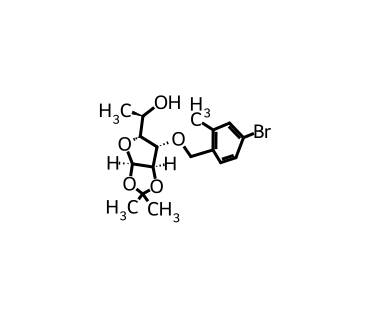 Cc1cc(Br)ccc1CO[C@@H]1[C@H]2OC(C)(C)O[C@H]2O[C@@H]1[C@@H](C)O